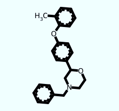 Cc1ccccc1Oc1ccc(C2CN(Cc3ccccc3)CCO2)cc1